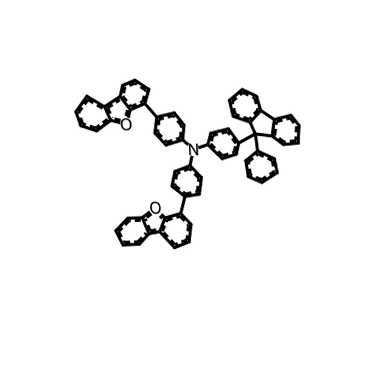 c1ccc(C2(c3ccc(N(c4ccc(-c5cccc6c5oc5ccccc56)cc4)c4ccc(-c5cccc6c5oc5ccccc56)cc4)cc3)c3ccccc3-c3ccccc32)cc1